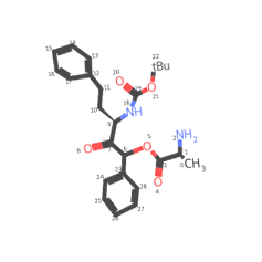 C[C@H](N)C(=O)OC(C(=O)[C@@H](CCc1ccccc1)NC(=O)OC(C)(C)C)c1ccccc1